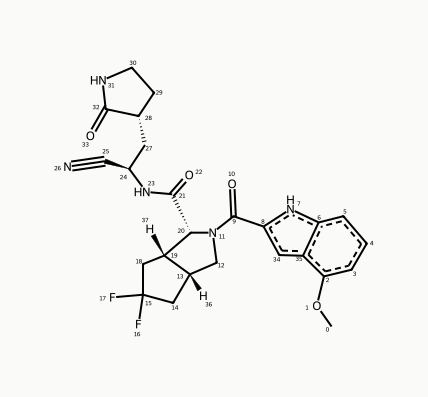 COc1cccc2[nH]c(C(=O)N3C[C@@H]4CC(F)(F)C[C@@H]4[C@@H]3C(=O)N[C@@H](C#N)C[C@H]3CCNC3=O)cc12